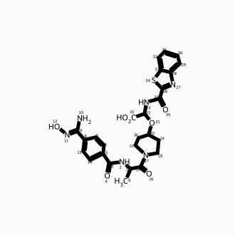 CC(NC(=O)c1ccc(/C(N)=N/O)cc1)C(=O)N1CCC(OC(NC(=O)c2nc3ccccc3s2)C(=O)O)CC1